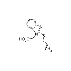 C=CCSc1nc2ccccc2n1CC(=O)O